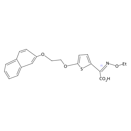 CCO/N=C(\C(=O)O)c1ccc(OCCOc2ccc3ccccc3c2)s1